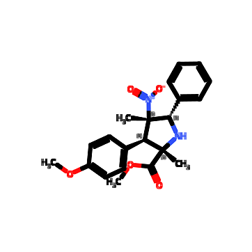 COC(=O)[C@@]1(C)N[C@@H](c2ccccc2)[C@@](C)([N+](=O)[O-])[C@@H]1c1ccc(OC)cc1